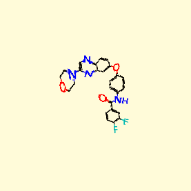 O=C(Nc1ccc(Oc2ccc3ncc(N4CCOCC4)nc3c2)cc1)c1ccc(F)c(F)c1